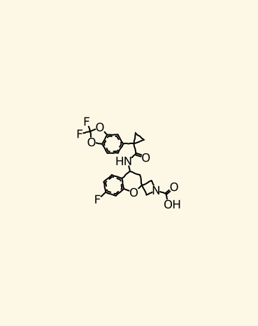 O=C(O)N1CC2(CC(NC(=O)C3(c4ccc5c(c4)OC(F)(F)O5)CC3)c3ccc(F)cc3O2)C1